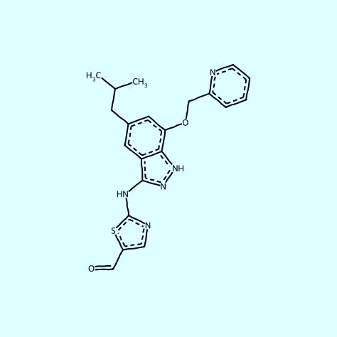 CC(C)Cc1cc(OCc2ccccn2)c2[nH]nc(Nc3ncc(C=O)s3)c2c1